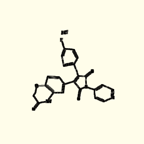 Cl.O=C1COc2ccc(C3=C(c4ccc(F)cc4)C(=O)N(c4ccncc4)C3=O)cc2N1